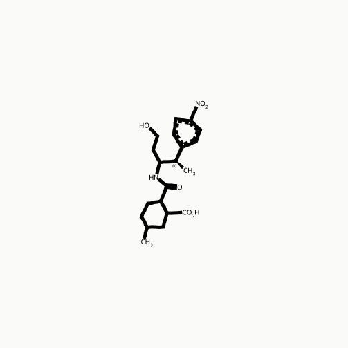 CC1CCC(C(=O)NC(CCO)[C@H](C)c2ccc([N+](=O)[O-])cc2)C(C(=O)O)C1